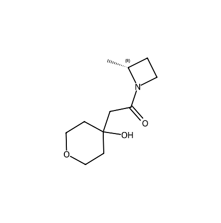 C[C@@H]1CCN1C(=O)CC1(O)CCOCC1